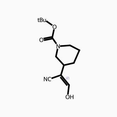 CC(C)(C)OC(=O)N1CCCC(/C(C#N)=C/O)C1